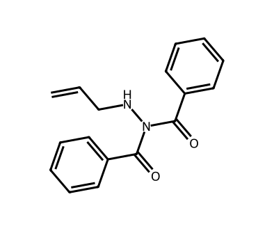 C=CCNN(C(=O)c1ccccc1)C(=O)c1ccccc1